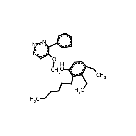 CCCCCCc1c(O)ccc(CC)c1CC.COc1cnnnc1-c1ccccc1